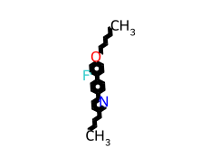 CCCCCCCOc1ccc(-c2ccc(-c3ccc(CCCCC)cn3)cc2)c(F)c1